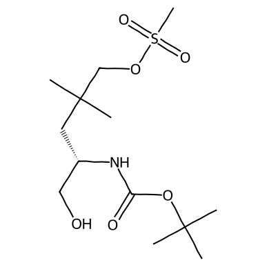 CC(C)(COS(C)(=O)=O)C[C@@H](CO)NC(=O)OC(C)(C)C